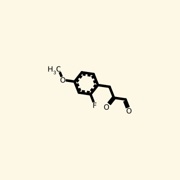 COc1ccc(CC(=O)C=O)c(F)c1